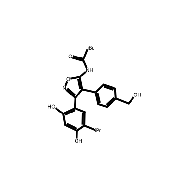 CCC(C)C(=O)Nc1onc(-c2cc(C(C)C)c(O)cc2O)c1-c1ccc(CO)cc1